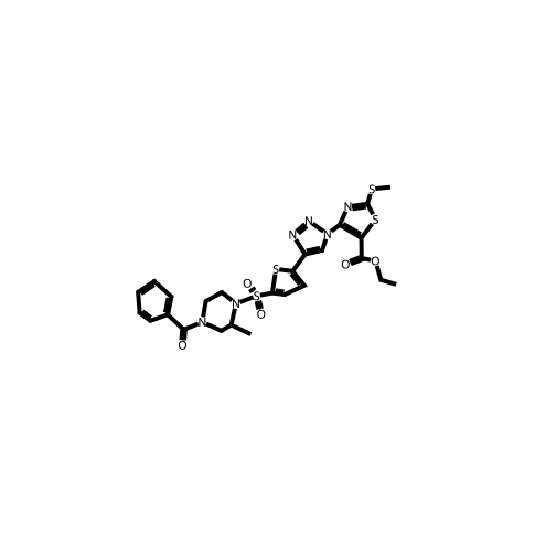 CCOC(=O)c1sc(SC)nc1-n1cc(-c2ccc(S(=O)(=O)N3CCN(C(=O)c4ccccc4)CC3C)s2)nn1